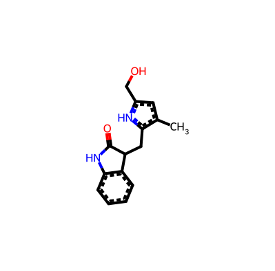 Cc1cc(CO)[nH]c1CC1C(=O)Nc2ccccc21